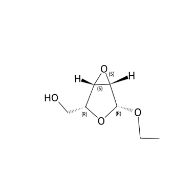 CCO[C@@H]1O[C@H](CO)[C@@H]2O[C@H]12